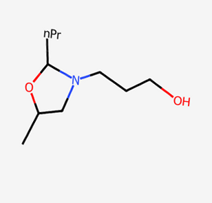 CCCC1OC(C)CN1CCCO